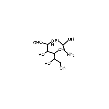 CCC(O)CN.O=CC(O)C(O)C(O)C(O)CO